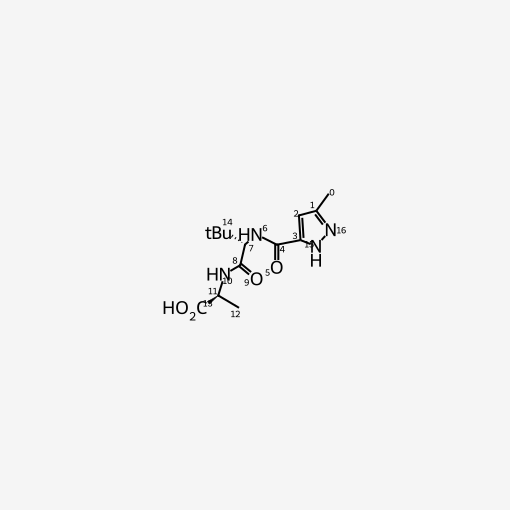 Cc1cc(C(=O)N[C@H](C(=O)N[C@@H](C)C(=O)O)C(C)(C)C)[nH]n1